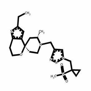 CCc1cc2c(s1)CCO[C@@]21CCN(Cc2cn(CC3(S(C)(=O)=O)CC3)nn2)[C@@H](C)C1